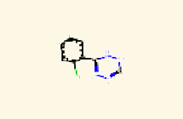 Clc1ccccc1C1=NN=CNN1